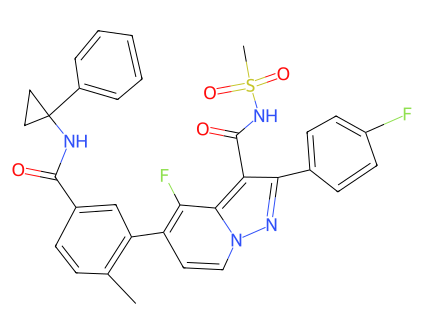 Cc1ccc(C(=O)NC2(c3ccccc3)CC2)cc1-c1ccn2nc(-c3ccc(F)cc3)c(C(=O)NS(C)(=O)=O)c2c1F